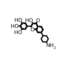 NC1CCC(c2ccc3c(=O)c(O)c(-c4cc(O)c(O)c(O)c4)oc3c2)CC1